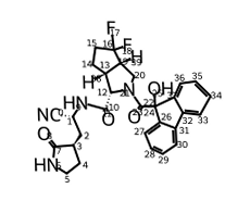 N#C[C@@H](C[C@H]1CCNC1=O)NC(=O)[C@@H]1[C@@H]2CCC(F)(F)[C@@H]2CN1C(=O)C1(O)c2ccccc2-c2ccccc21